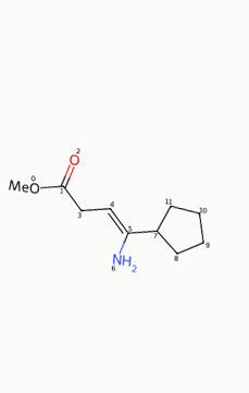 COC(=O)CC=C(N)C1CCCC1